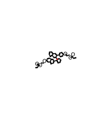 C=CC(=O)OCCOc1ccc(-c2cc3ccccc3cc2-c2ccccc2-c2ccc3cc(OCCOC(=O)C=C)ccc3c2)cc1